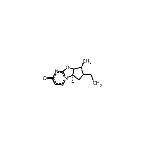 CC[C@H]1C[C@@H]2C(Oc3nc(=O)ccn32)[C@H]1C